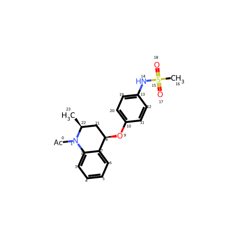 CC(=O)N1c2ccccc2[C@H](Oc2ccc(NS(C)(=O)=O)cc2)C[C@@H]1C